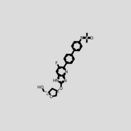 CS(C)(=O)=Nc1ccc(-c2ccc(-c3nc4nc(O[C@@H]5CO[C@H](CO)C5)[nH]c4cc3F)cc2)cc1